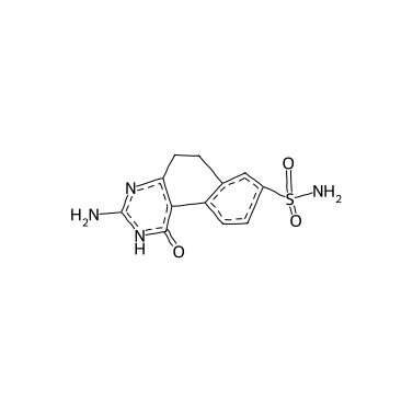 Nc1nc2c(c(=O)[nH]1)-c1ccc(S(N)(=O)=O)cc1CC2